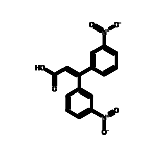 O=C(O)C=C(c1cccc([N+](=O)[O-])c1)c1cccc([N+](=O)[O-])c1